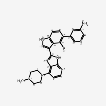 CN1CCN(c2ccnc3[nH]c(-c4n[nH]c5ccc(-c6cncc(N)c6)c(F)c45)nc23)CC1